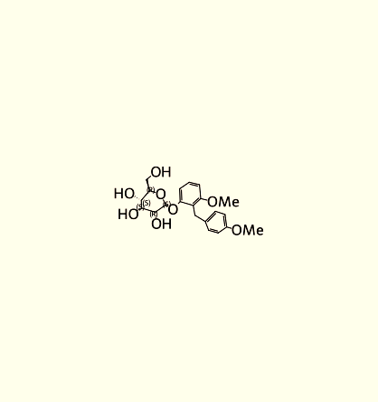 COc1ccc(Cc2c(OC)cccc2O[C@@H]2O[C@H](CO)[C@@H](O)[C@H](O)[C@H]2O)cc1